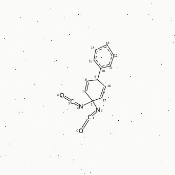 O=C=NC1(N=C=O)C=CC(c2ccccc2)C=C1